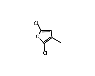 Cc1cc(Cl)oc1Cl